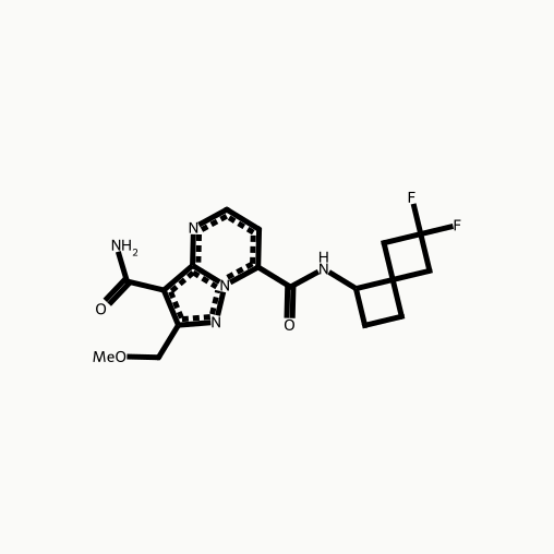 COCc1nn2c(C(=O)NC3CCC34CC(F)(F)C4)ccnc2c1C(N)=O